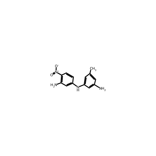 Cc1cc(N)cc(Nc2ccc([N+](=O)[O-])c(N)c2)c1